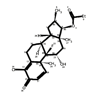 CCC(=O)O[C@@H]1[C@H](C)C[C@H]2[C@@H]3CCC4=C(Cl)C(=O)C=C[C@]4(C)[C@@]3(F)[C@@H](O)C[C@]12C